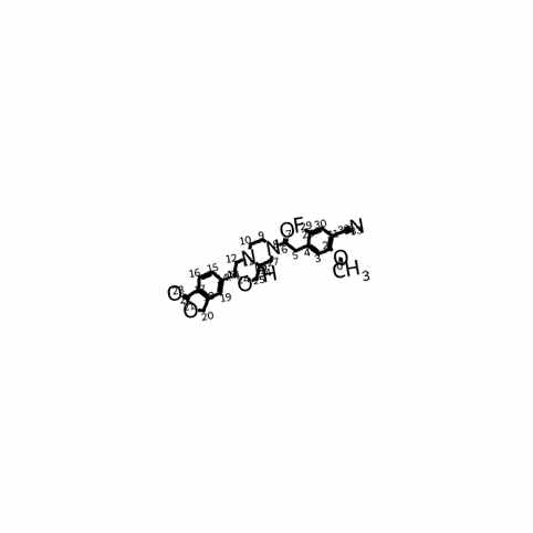 COc1cc(CC(=O)N2CCN3C[C@H](c4ccc5c(c4)COC5=O)OC[C@@H]3C2)c(F)cc1C#N